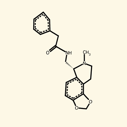 CN1CCc2c(ccc3c2OCO3)[C@@H]1CNC(=O)Cc1ccccc1